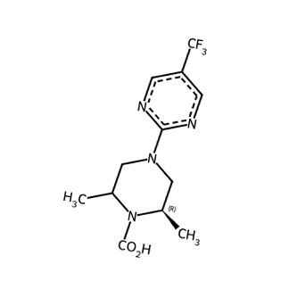 CC1CN(c2ncc(C(F)(F)F)cn2)C[C@@H](C)N1C(=O)O